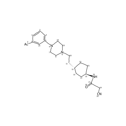 CC(=O)c1cccc(N2CCN(CC[C@H]3CC[C@H](NC(=O)CC#N)CC3)CC2)c1